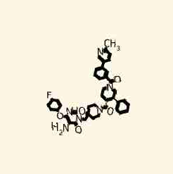 Cc1ccc(-c2cccc(C(=O)N3CC[C@@H](C(=O)N4CCC(O)(Cn5cnc(Oc6ccc(F)cc6)c(N)c5=O)CC4)[C@H](c4ccccc4)C3)c2)cn1